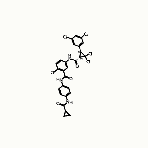 O=C(Nc1ccc(NC(=O)C2CC2)cc1)c1cc(NC(=O)[C@@H]2[C@@H](c3cc(Cl)cc(Cl)c3)C2(Cl)Cl)ccc1Cl